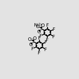 O=S(=O)([O-])c1c(F)c(F)c(F)c(F)c1F.O=S(=O)([O-])c1c(F)c(F)c(F)c(F)c1F.[Ni+2]